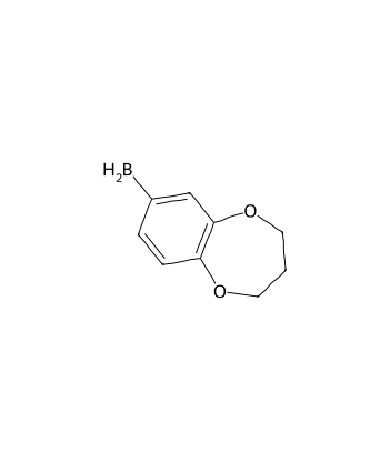 Bc1ccc2c(c1)OCCCO2